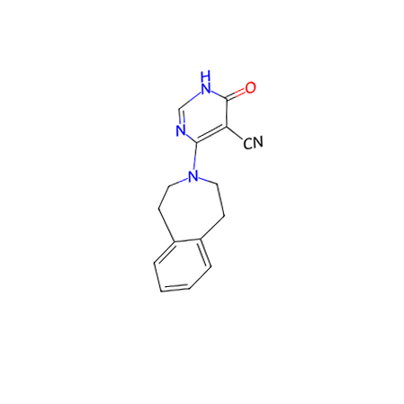 N#Cc1c(N2CCc3ccccc3CC2)nc[nH]c1=O